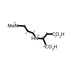 CNCCCNC(CC(=O)O)C(=O)O